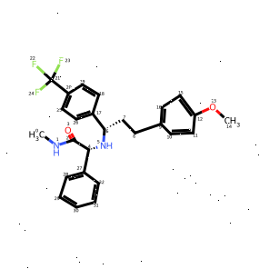 CNC(=O)[C@H](N[C@@H](CCc1ccc(OC)cc1)c1ccc(C(F)(F)F)cc1)c1ccccc1